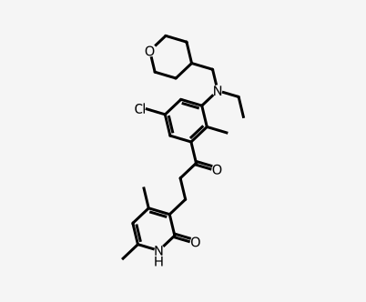 CCN(CC1CCOCC1)c1cc(Cl)cc(C(=O)CCc2c(C)cc(C)[nH]c2=O)c1C